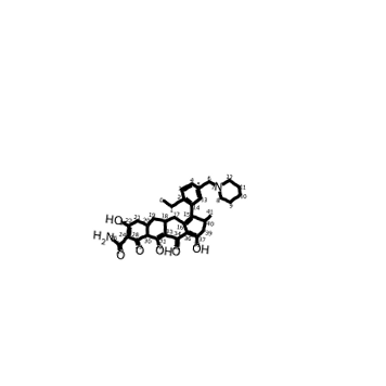 CCc1ccc(CN2CCCCC2)cc1C1=C2CC3CC4CC(O)=C(C(N)=O)C(=O)C4C(O)=C3C(=O)C2=C(O)CC1C